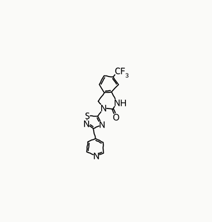 O=C1Nc2cc(C(F)(F)F)ccc2CN1c1nc(-c2ccncc2)ns1